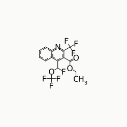 CCOC(=O)c1c(C(F)(F)F)nc2ccccc2c1C(F)OC(F)(F)F